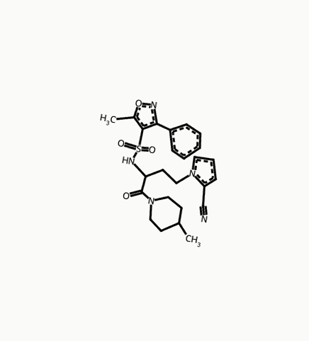 Cc1onc(-c2ccccc2)c1S(=O)(=O)NC(CCn1cccc1C#N)C(=O)N1CCC(C)CC1